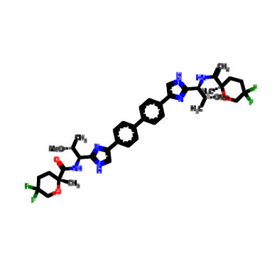 C=C(N[C@H](c1nc(-c2ccc(-c3ccc(-c4c[nH]c([C@@H](NC(=O)[C@@]5(C)CCC(F)(F)CO5)[C@@H](C)OC)n4)cc3)cc2)c[nH]1)[C@@H](C)OC)[C@@]1(C)CCC(F)(F)CO1